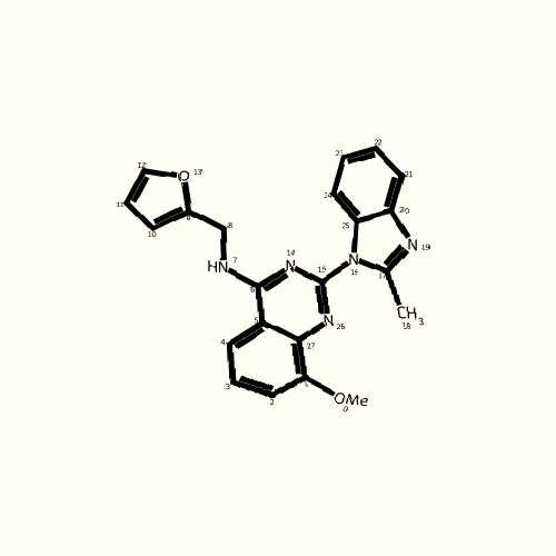 COc1cccc2c(NCc3ccco3)nc(-n3c(C)nc4ccccc43)nc12